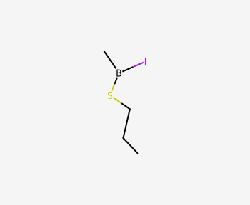 CCCSB(C)I